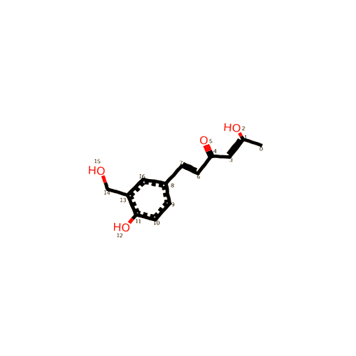 C/C(O)=C/C(=O)/C=C/c1ccc(O)c(CO)c1